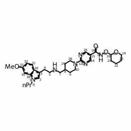 CCCn1cc(CCNCC2CCN(c3ncc(C(=O)NOC4CCCCO4)cn3)CC2)c2ccc(OC)cc21